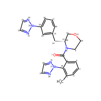 Cc1cccc(C(=O)N2CCOC[C@H]2Cc2cccc(-n3nccn3)c2)c1-n1nccn1